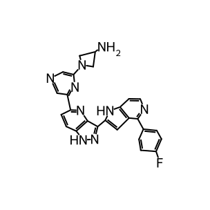 NC1CN(c2cncc(-c3ccc4[nH]nc(-c5cc6c(-c7ccc(F)cc7)nccc6[nH]5)c4n3)n2)C1